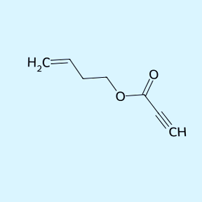 C#CC(=O)OCCC=C